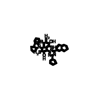 Bc1c(O)c(B)c2c(-c3nc(-c4ccccc4)nc(-c4ccc5ccccc5c4)n3)c(O)c(B)c(-n3c4ccccc4c4ccccc43)c2c1B